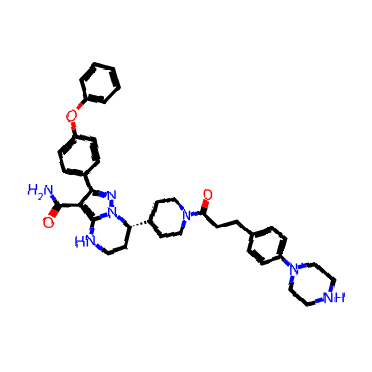 NC(=O)c1c(-c2ccc(Oc3ccccc3)cc2)nn2c1NCC[C@H]2C1CCN(C(=O)CCc2ccc(N3CCNCC3)cc2)CC1